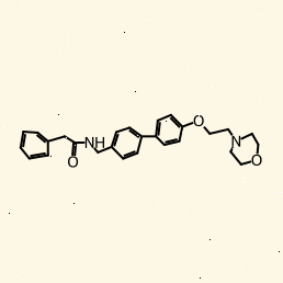 O=C(Cc1ccccc1)NCc1ccc(-c2ccc(OCCN3CCOCC3)cc2)cc1